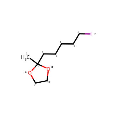 CC1(CCCCCI)OCCO1